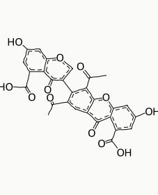 CC(=O)c1cc2c(=O)c3c(C(=O)O)cc(O)cc3oc2c(C(C)=O)c1-c1coc2cc(O)cc(C(=O)O)c2c1=O